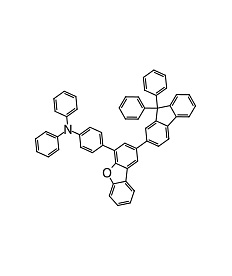 c1ccc(N(c2ccccc2)c2ccc(-c3cc(-c4ccc5c(c4)C(c4ccccc4)(c4ccccc4)c4ccccc4-5)cc4c3oc3ccccc34)cc2)cc1